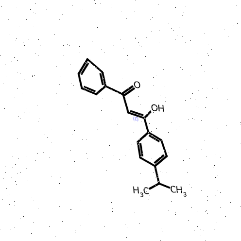 CC(C)c1ccc(/C(O)=C/C(=O)c2ccccc2)cc1